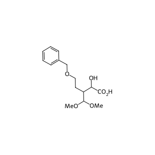 COC(OC)C(CCOCc1ccccc1)C(O)C(=O)O